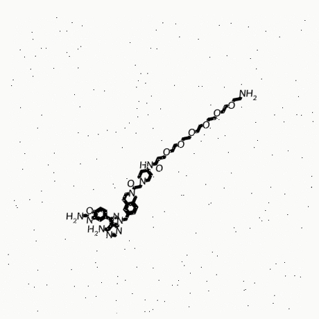 NCCOCCOCCOCCOCCOCCOCCC(=O)NC1CCN(CC(=O)N2CCc3cc(Cn4nc(-c5ccc6oc(N)nc6c5)c5c(N)ncnc54)ccc3C2)CC1